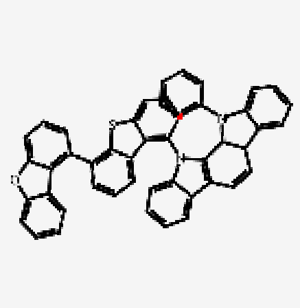 C1=CC2c3ccccc3N(c3ccccc3)C2c2c1c1ccccc1n2-c1cccc2sc3c(-c4cccc5oc6ccccc6c45)cccc3c12